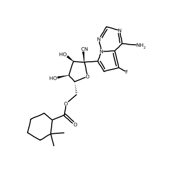 CC1(C)CCCCC1C(=O)OC[C@H]1O[C@@](C#N)(c2cc(F)c3c(N)ncnn23)[C@H](O)[C@@H]1O